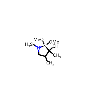 CO[Si]1(OC)N([SiH3])CC(C)C1(C)C